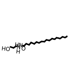 CCCCCCCCCCCCCCCCCC(=O)NNCCCO